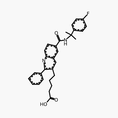 CC(C)(NC(=O)c1ccc2nc(-c3ccccc3)c(CCCCC(=O)O)cc2c1)c1ccc(F)cc1